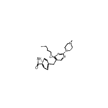 CCCCOc1nc(N2CCN(C)CC2)ncc1Cc1ccc(C(N)=O)cc1